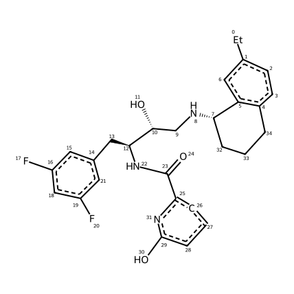 CCc1ccc2c(c1)[C@@H](NC[C@@H](O)[C@H](Cc1cc(F)cc(F)c1)NC(=O)c1cccc(O)n1)CCC2